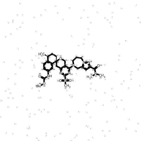 C[C@H]1CC[C@@]2(Cc3nc(S(C)(=O)=O)nc(N4CCCn5nc(C(=O)N(C)C)cc5C4)c3CO2)c2cc(NC(=O)OC(C)(C)C)ccc21